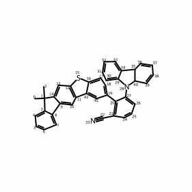 CC1(C)c2ccccc2-c2cc3c(cc21)sc1ccc(-c2c(C#N)cccc2N2c4ccccc4C4C=CC=CC42)cc13